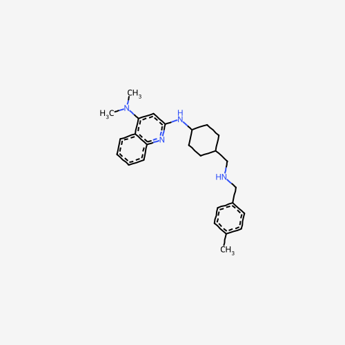 Cc1ccc(CNCC2CCC(Nc3cc(N(C)C)c4ccccc4n3)CC2)cc1